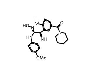 COc1ccc(N/C(=N\O)C(=N)c2cc(C(=O)N3CCCCC3)ccc2N)cc1